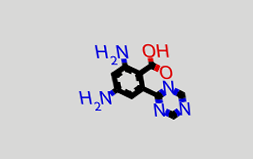 Nc1cc(N)c(C(=O)O)c(-c2ncncn2)c1